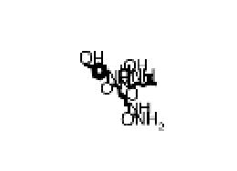 CC(C)CC(NC(=O)O)C(=O)NC(CCCNC(N)=O)C(=O)Nc1ccc(CO)cc1